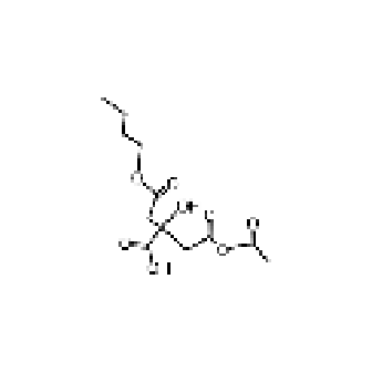 CCCCOC(=O)CC(O)(CC(=O)OC(C)=O)C(=O)O